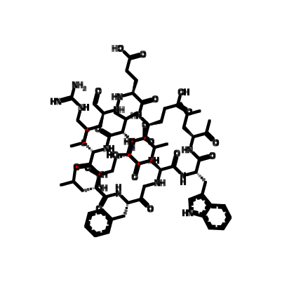 CSCC[C@@H](C=O)NN[C@@H](CCC(=O)O)C(=O)N[C@@H](CCC(=O)O)C(=O)N[C@@H](CCC(=O)O)C(=O)NC(C)C(=O)N[C@H](C(=O)N[C@@H](CCCNC(=N)N)C(=O)N[C@@H](CC(C)C)C(=O)N[C@@H](Cc1ccccc1)C(=O)CN[C@@H](CCC(=O)O)C(=O)N[C@@H](Cc1c[nH]c2ccccc12)C(=O)N[C@@H](CC(C)C)C(C)=O)C(C)C